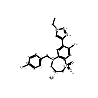 CCn1cc(-c2cc3c(cc2F)S(=O)(=O)C[C@H](N)CN3Cc2ccc(Cl)cc2)nn1